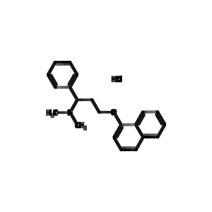 CN(C)C(CCOc1cccc2ccccc12)c1ccccc1.Cl